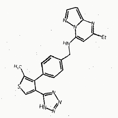 CCc1cc(NCc2ccc(-c3c(-c4nnn[nH]4)csc3C)cc2)n2nccc2n1